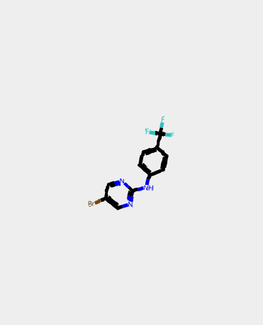 FC(F)(F)c1ccc(Nc2ncc(Br)cn2)cc1